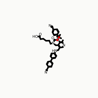 Cc1ncc(CNc2ccc(-c3ccc(C#N)cc3)cc2)c(CN(CCCCCC(=O)O)C(=O)OC(C)(C)C)c1OCc1ccc(C#N)cc1